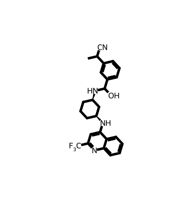 CC(C#N)c1cccc(C(O)N[C@@H]2CCC[C@H](Nc3cc(C(F)(F)F)nc4ccccc34)C2)c1